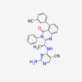 C[C@H](Nc1nc(N)ncc1C#N)c1nc2cccc(-c3cccc(C#N)c3)c2c(=O)n1-c1ccccc1